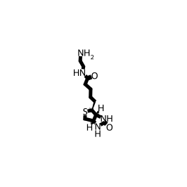 NCCNC(=O)CCCC[C@@H]1SC[C@H]2NC(=O)N[C@@H]12